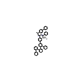 CC(/C=C(\N=C(/N)c1ccccc1)c1ccc(-c2ccc(C3=CCCC=C3c3ccccc3C3=CCCC=C3)c(C3=CCCC=C3)c2)cc1)c1ccc(-c2ccccc2)cc1